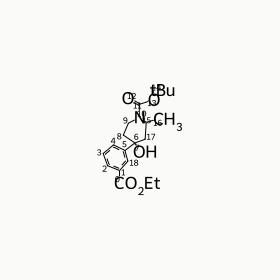 CCOC(=O)c1cccc([C@]2(O)CCN(C(=O)OC(C)(C)C)C(C)C2)c1